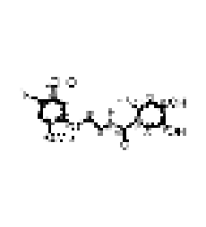 COc1cc(F)c(C=O)cc1OCCNC(=O)c1cc(O)c(O)cc1F